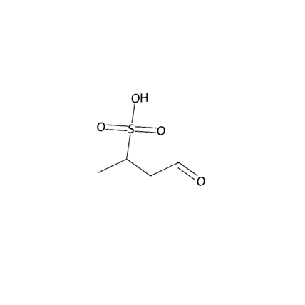 CC(CC=O)S(=O)(=O)O